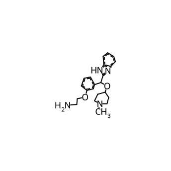 CN1CCC(OC(c2cccc(OCCN)c2)c2nc3ccccc3[nH]2)CC1